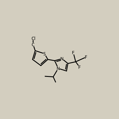 CC(C)n1cc(C(F)(F)F)nc1-c1ccc(CCl)s1